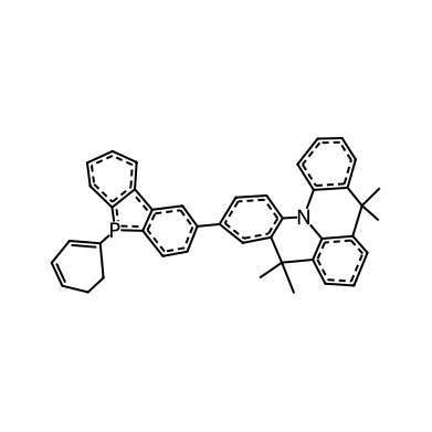 CC1(C)c2ccccc2N2c3ccc(-c4ccc5c(c4)c4ccccc4p5C4=CC=CCC4)cc3C(C)(C)c3cccc1c32